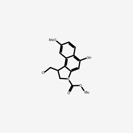 COc1ccc2c(O)cc3c(c2c1)C(CCl)CN3C(=O)OC(C)(C)C